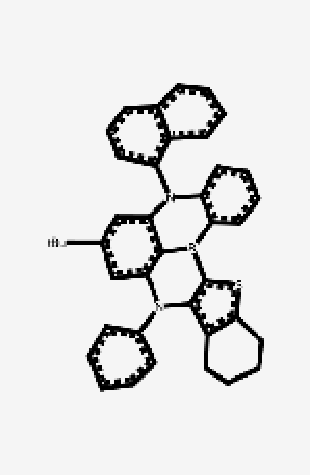 CC(C)(C)c1cc2c3c(c1)N(c1cccc4ccccc14)c1ccccc1B3c1sc3c(c1N2c1ccccc1)CCCC3